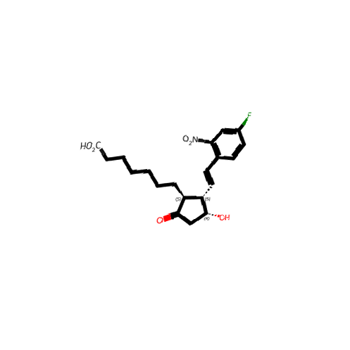 O=C(O)CCCCCC[C@@H]1C(=O)C[C@@H](O)[C@H]1C=Cc1ccc(F)cc1[N+](=O)[O-]